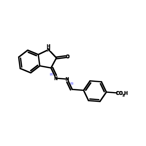 O=C1Nc2ccccc2/C1=N/N=C/c1ccc(C(=O)O)cc1